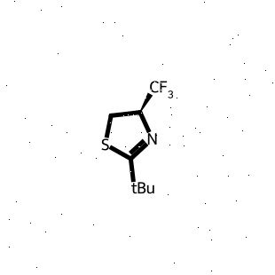 CC(C)(C)C1=N[C@H](C(F)(F)F)CS1